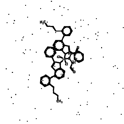 CCCCc1ccccc1-c1cccc2c1C=C(c1ccccc1)[CH]2[Hf]([Cl])([Cl])([B](NC=O)NC=O)[CH]1C(c2ccccc2)=Cc2c(-c3ccccc3CCCC)cccc21